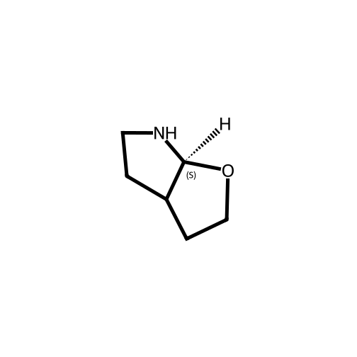 C1CC2CCO[C@@H]2N1